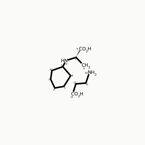 C[C@H](NC1CCCCC1)C(=O)O.NCCC(=O)O